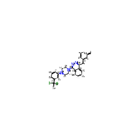 C=C/C=C(\C=C/C)Cc1nnc(N2CCN(c3cccc(C(C)(F)F)c3)CC2)c2ccccc12